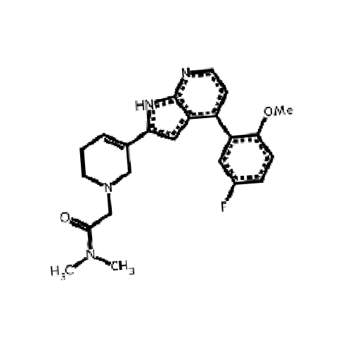 COc1ccc(F)cc1-c1ccnc2[nH]c(C3=CCCN(CC(=O)N(C)C)C3)cc12